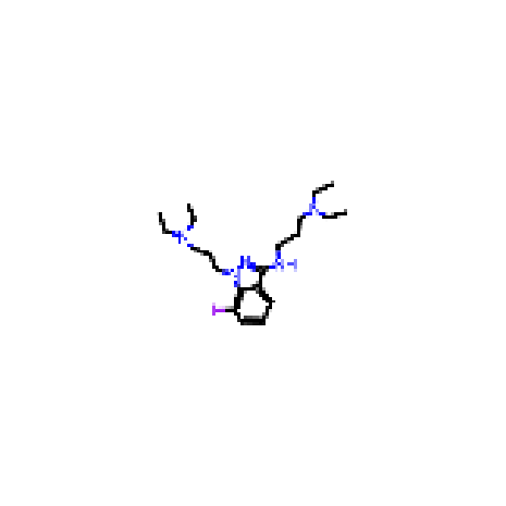 CCN(CC)CCCNc1nn(CCCN(CC)CC)c2c(I)cccc12